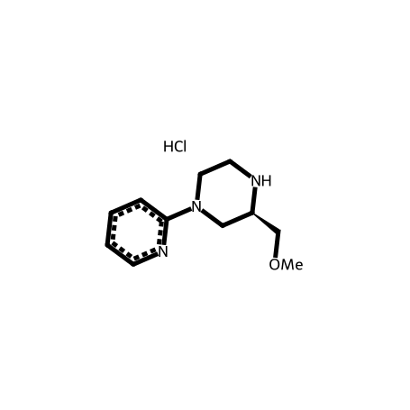 COC[C@H]1CN(c2ccccn2)CCN1.Cl